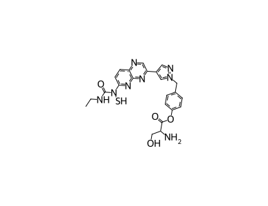 CCNC(=O)N(S)c1ccc2ncc(-c3cnn(Cc4ccc(OC(=O)C(N)CO)cc4)c3)nc2n1